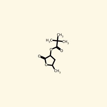 CC1CC(OC(=O)C(C)(C)C)C(=O)O1